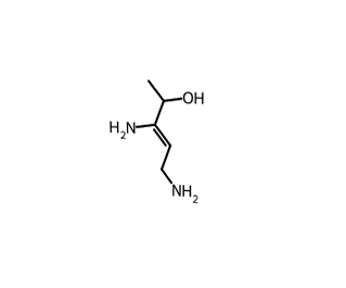 CC(O)C(N)=CCN